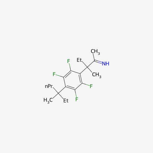 CCCC(C)(CC)c1c(F)c(F)c(C(C)(CC)C(C)=N)c(F)c1F